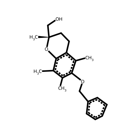 Cc1c(C)c2c(c(C)c1OCc1ccccc1)CC[C@@](C)(CO)O2